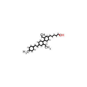 CCC1CC(CCCCCO)CCC1C1CCC(CCC2CCC(C)CC2)CC1CC